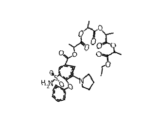 CCOC(=O)C(C)OC(=O)C(C)OC(=O)C(C)OC(=O)C(C)OC(=O)c1cc(N2CCCC2)c(Oc2ccccc2)c(S(N)(=O)=O)c1